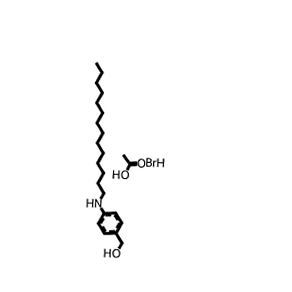 Br.CC(=O)O.CCCCCCCCCCCCCCNc1ccc(CO)cc1